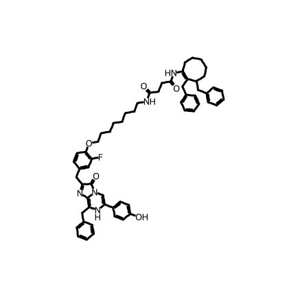 O=C(CCC(=O)NC1=C(Cc2ccccc2)C(Cc2ccccc2)CCCCC1)NCCCCCCCCOc1ccc(Cc2nc3c(Cc4ccccc4)[nH]c(-c4ccc(O)cc4)cn-3c2=O)cc1F